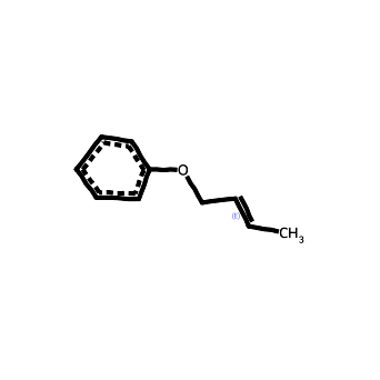 C/C=C/COc1ccccc1